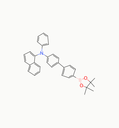 CC1(C)OB(c2ccc(-c3ccc(N(c4ccccc4)c4cccc5ccccc45)cc3)cc2)OC1(C)C